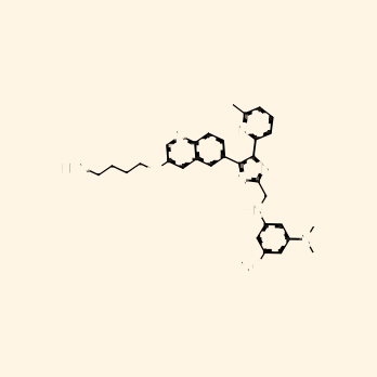 Cc1cccc(-c2nc(CNc3cc(C#N)cc(N(C)C)c3)[nH]c2-c2ccc3ncc(OCCCCN)cc3c2)n1